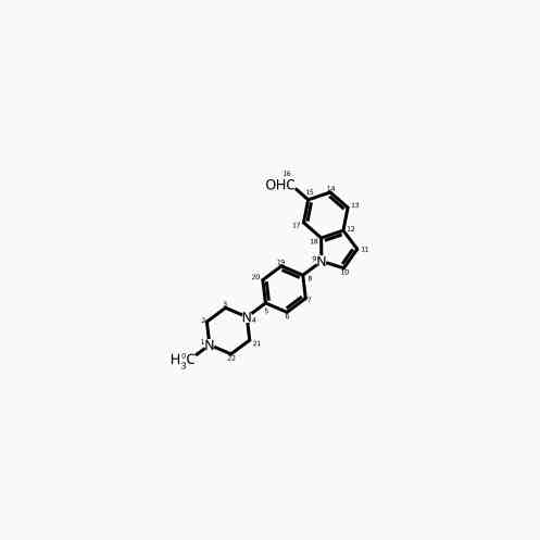 CN1CCN(c2ccc(-n3ccc4ccc(C=O)cc43)cc2)CC1